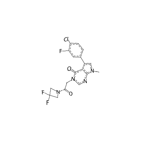 Cn1cc(-c2ccc(Cl)c(F)c2)c2c(=O)n(CC(=O)N3CC(F)(F)C3)cnc21